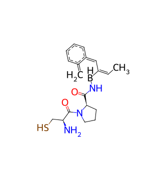 C=c1cccc/c1=C/C(BNC(=O)[C@H]1CCCN1C(=O)[C@@H](N)CS)=C\C